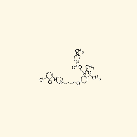 CCc1ccc(OCCCCN2CCN(c3cccc(Cl)c3Cl)CC2)cc1N(COC(=O)N1CCN(C)CC1)C(C)=O